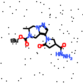 CC1Cn2ncc(N3CC(C(=O)NN)CC3=O)c2CN1C(=O)OC(C)(C)C